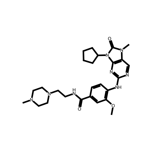 COc1cc(C(=O)NCCN2CCN(C)CC2)ccc1Nc1ncc2c(n1)n(C1CCCC1)c(=O)n2C